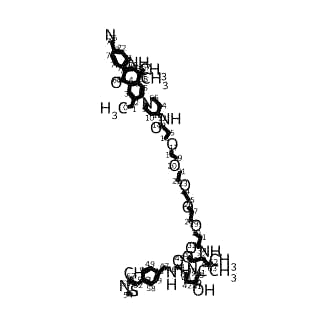 CCc1cc2c(cc1N1CCC(NC(=O)CCOCCOCCOCCOCCOCCC(=O)NC(C(=O)N3C[C@H](O)C[C@H]3C(=O)NCc3ccc(-c4scnc4C)cc3)C(C)(C)C)CC1)C(C)(C)c1[nH]c3cc(C#N)ccc3c1C2=O